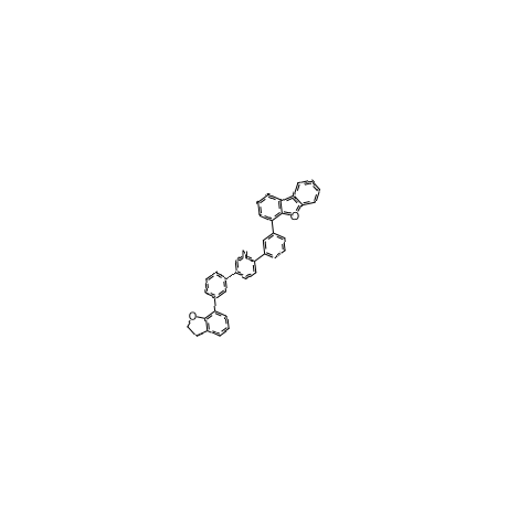 c1cc(-c2ccc(-c3cccc(-c4cccc5c4oc4ccccc45)c3)nc2)cc(-c2cccc3c2OCC3)c1